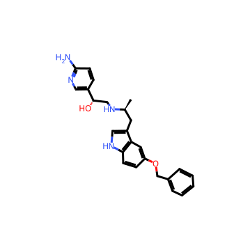 C[C@@H](Cc1c[nH]c2ccc(OCc3ccccc3)cc12)NC[C@H](O)c1ccc(N)nc1